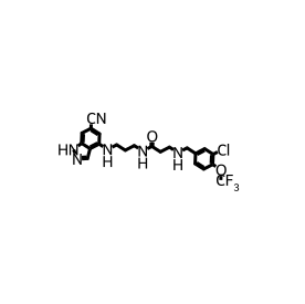 N#Cc1cc(NCCCNC(=O)CCNCc2ccc(OC(F)(F)F)c(Cl)c2)c2cn[nH]c2c1